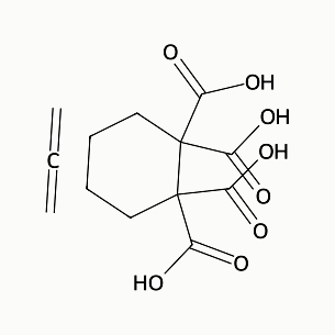 C=C=C.O=C(O)C1(C(=O)O)CCCCC1(C(=O)O)C(=O)O